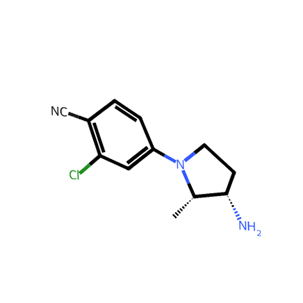 C[C@H]1[C@@H](N)CCN1c1ccc(C#N)c(Cl)c1